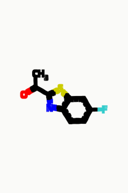 CC(=O)c1nc2ccc(F)cc2s1